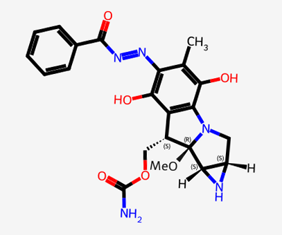 CO[C@@]12[C@H](COC(N)=O)c3c(O)c(N=NC(=O)c4ccccc4)c(C)c(O)c3N1C[C@@H]1N[C@@H]12